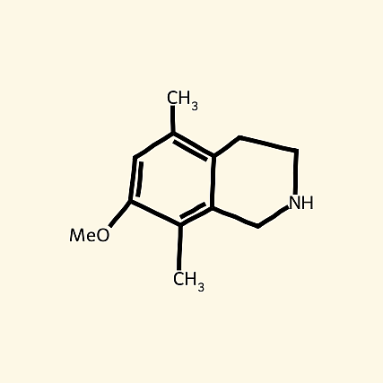 COc1cc(C)c2c(c1C)CNCC2